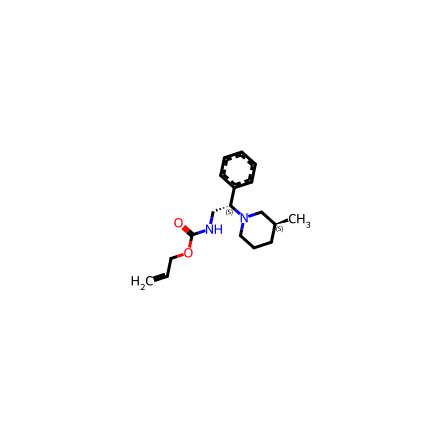 C=CCOC(=O)NC[C@H](c1ccccc1)N1CCC[C@H](C)C1